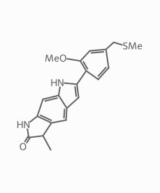 COc1cc(CSC)ccc1-c1cc2cc3c(cc2[nH]1)NC(=O)C3C